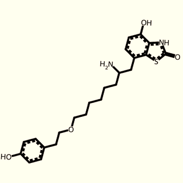 NC(CCCCCCOCCc1ccc(O)cc1)Cc1ccc(O)c2[nH]c(=O)sc12